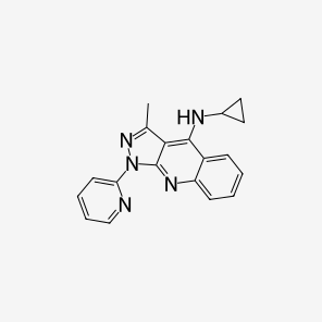 Cc1nn(-c2ccccn2)c2nc3ccccc3c(NC3CC3)c12